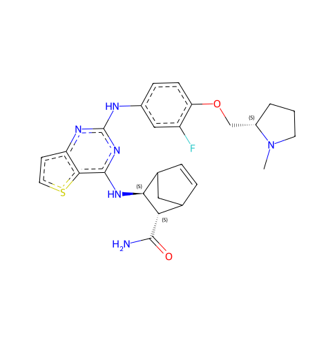 CN1CCC[C@H]1COc1ccc(Nc2nc(N[C@H]3C4C=CC(C4)[C@@H]3C(N)=O)c3sccc3n2)cc1F